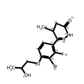 CC(O)COc1ccc(C2=NNC(=O)CC2C)c(F)c1Br